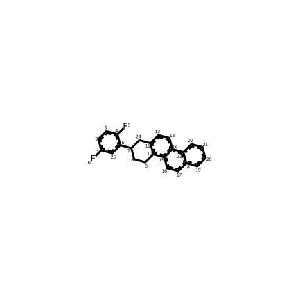 Fc1ccc(F)c(C2CCc3c(ccc4c3ccc3ccccc34)C2)c1